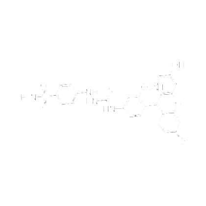 NS(=O)(=O)c1ccc(NNC(=S)Nc2ccc(-c3c4ccc(=O)cc-4oc4cc(O)ccc34)c(C(=O)O)c2)cc1